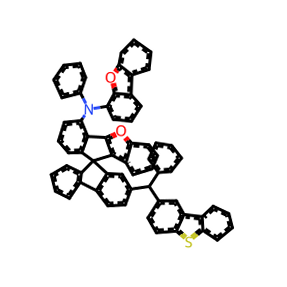 c1ccc(C(c2ccc3c(c2)C2(c4ccccc4-3)c3cccc(N(c4ccccc4)c4cccc5c4oc4ccccc45)c3-c3oc4ccccc4c32)c2ccc3sc4ccccc4c3c2)cc1